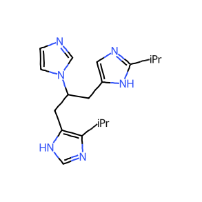 CC(C)c1ncc(CC(Cc2[nH]cnc2C(C)C)n2ccnc2)[nH]1